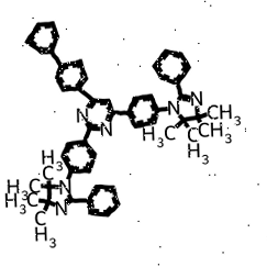 CC1(C)N=C(c2ccccc2)N(c2ccc(-c3cc(-c4ccc(-c5ccccc5)cc4)nc(-c4ccc(N5C(c6ccccc6)=NC(C)(C)C5(C)C)cc4)n3)cc2)C1(C)C